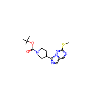 CSc1ncc2cnc(C3CCN(C(=O)OC(C)(C)C)CC3)n2n1